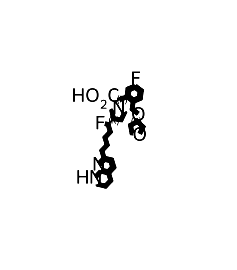 O=C(O)[C@@H](c1cc(F)ccc1CO[C@@H]1CCOC1)N1CC[C@@H](C(F)CCCCc2ccc3c(n2)NCCC3)C1